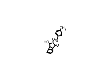 Cc1ccc(SON2C(=O)C3C4C=CC(C4)C3C2O)cc1